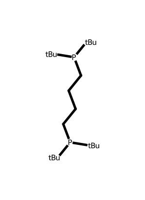 CC(C)(C)P(CCCCP(C(C)(C)C)C(C)(C)C)C(C)(C)C